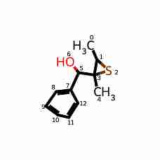 CC1SC1(C)C(O)c1ccccc1